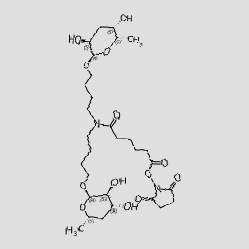 C[C@@H]1O[C@@H](OCCCCN(CCCCO[C@@H]2O[C@@H](C)C[C@@H](O)[C@@H]2O)C(=O)CCCCC(=O)ON2C(=O)CCC2=O)[C@@H](O)C[C@@H]1O